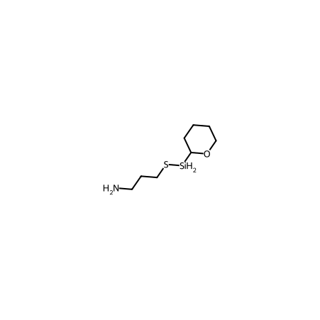 NCCCS[SiH2]C1CCCCO1